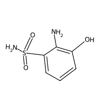 Nc1c(O)cccc1S(N)(=O)=O